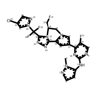 Cn1nccc1Nc1ncc(F)c(-c2cc3n(c2)C[C@H](CF)n2c-3nnc2C(F)(F)n2cc(Cl)cn2)n1